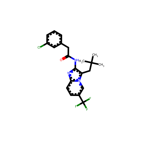 CC(C)(C)Cc1c(NC(=O)Cc2cccc(Cl)c2)nc2ccc(C(F)(F)F)cn12